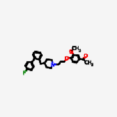 COc1cc(C(C)=O)ccc1OCCCN1CCC(Cc2ccccc2-c2ccc(F)cc2)CC1